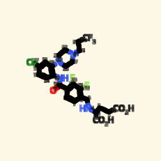 O=C(O)CCC(NCc1ccc(C(=O)Nc2ccc(Cl)cc2N2CCN(CCC(F)(F)F)CC2)c(F)c1F)C(=O)O